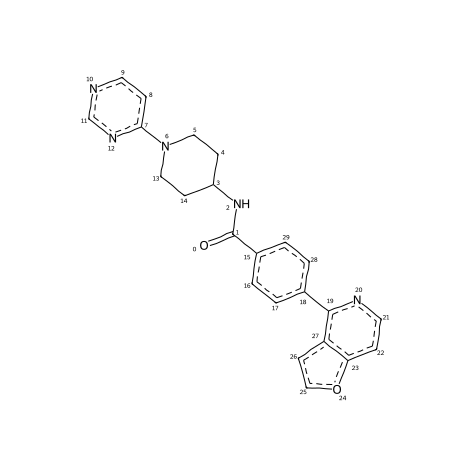 O=C(NC1CCN(c2ccncn2)CC1)c1ccc(-c2nccc3occc23)cc1